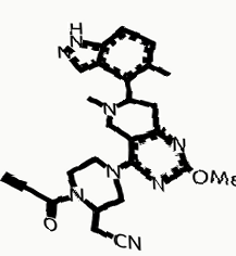 C#CC(=O)N1CCN(c2nc(OC)nc3c2CN(C)C(c2c(C)ccc4[nH]ncc24)C3)CC1CC#N